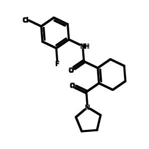 O=C(Nc1ccc(Cl)cc1F)C1=C(C(=O)N2CCCC2)CCCC1